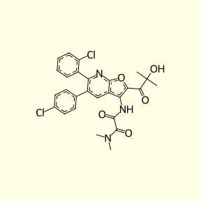 CN(C)C(=O)C(=O)Nc1c(C(=O)C(C)(C)O)oc2nc(-c3ccccc3Cl)c(-c3ccc(Cl)cc3)cc12